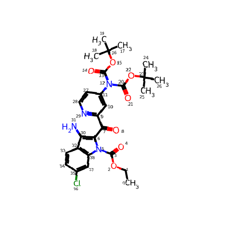 CCOC(=O)n1c(C(=O)c2cc(N(C(=O)OC(C)(C)C)C(=O)OC(C)(C)C)ccn2)c(N)c2ccc(Cl)cc21